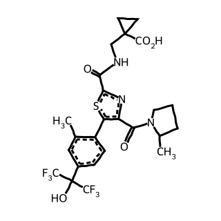 Cc1cc(C(O)(C(F)(F)F)C(F)(F)F)ccc1-c1sc(C(=O)NCC2(C(=O)O)CC2)nc1C(=O)N1CCCC1C